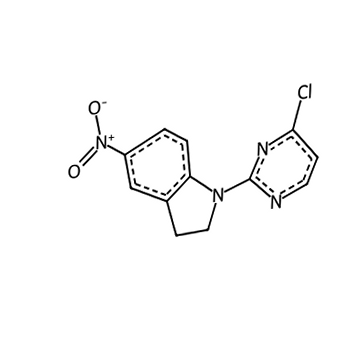 O=[N+]([O-])c1ccc2c(c1)CCN2c1nccc(Cl)n1